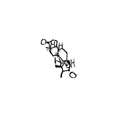 C=C1C(=C)[C@@]2(CO)C(=CC1=O)CC[C@@H]1[C@H]2CC[C@]2(C)C(=O)CC[C@@H]12